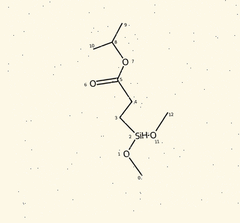 CO[SiH](CCC(=O)OC(C)C)OC